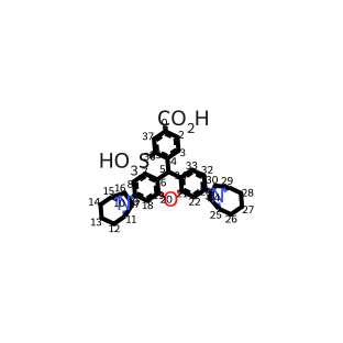 O=C(O)c1ccc(C2c3ccc(N4C5CCCC4CC5)cc3Oc3cc(N4C5CCCC4CC5)ccc32)c(S(=O)(=O)O)c1